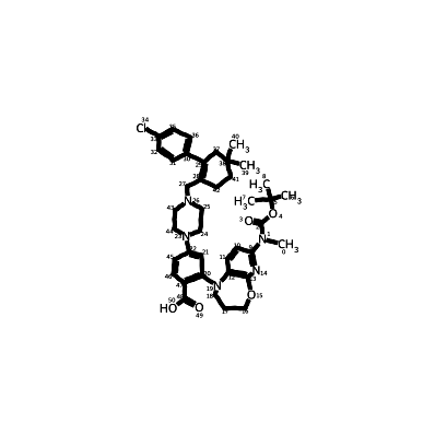 CN(C(=O)OC(C)(C)C)c1ccc2c(n1)OCCCN2c1cc(N2CCN(CC3=C(c4ccc(Cl)cc4)CC(C)(C)CC3)CC2)ccc1C(=O)O